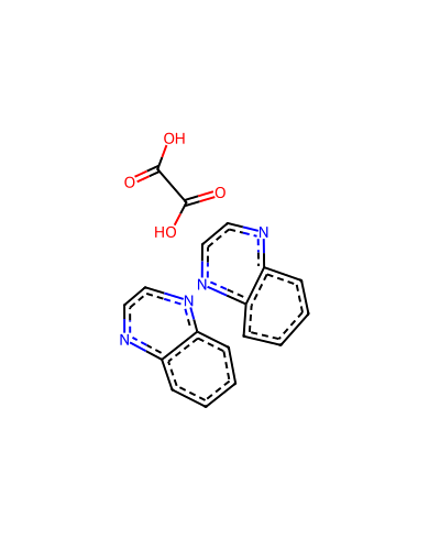 O=C(O)C(=O)O.c1ccc2nccnc2c1.c1ccc2nccnc2c1